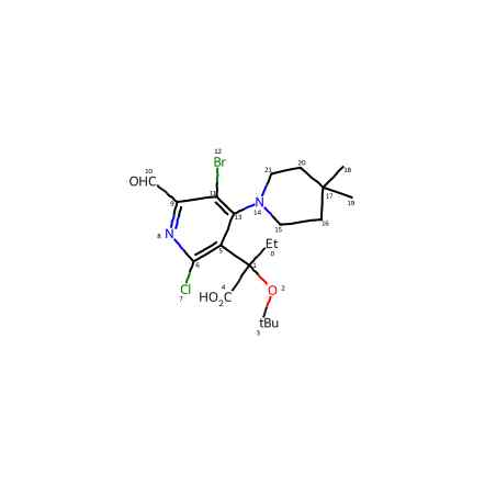 CCC(OC(C)(C)C)(C(=O)O)c1c(Cl)nc(C=O)c(Br)c1N1CCC(C)(C)CC1